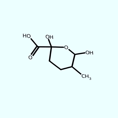 CC1CCC(O)(C(=O)O)OC1O